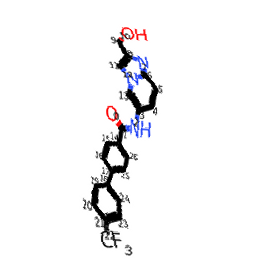 O=C(Nc1ccc2nc(CO)cn2c1)c1ccc(-c2ccc(C(F)(F)F)cc2)cc1